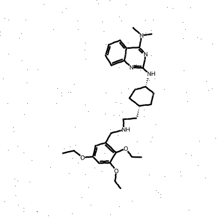 CCOc1cc(CNCC[C@H]2CC[C@@H](Nc3nc(N(C)C)c4ccccc4n3)CC2)c(OCC)c(OCC)c1